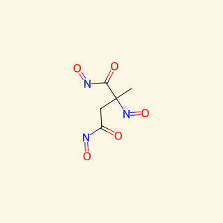 CC(CC(=O)N=O)(N=O)C(=O)N=O